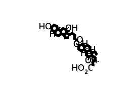 C[C@H](CCC(=O)O[C@@H]1CC[C@@]2(C)[C@H](CC[C@@H]3[C@@H]2C[C@H](O)[C@]2(C)[C@@H]([C@H](C)CCC(=O)O)CC[C@@H]32)C1)[C@H]1CCC2C3CC[C@@H]4C[C@H](O)CC[C@]4(C)C3C[C@H](O)[C@@]21C